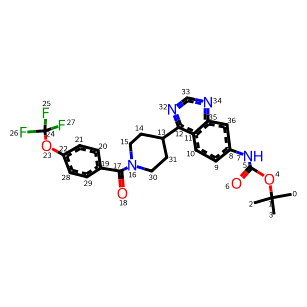 CC(C)(C)OC(=O)Nc1ccc2c(C3CCN(C(=O)c4ccc(OC(F)(F)F)cc4)CC3)ncnc2c1